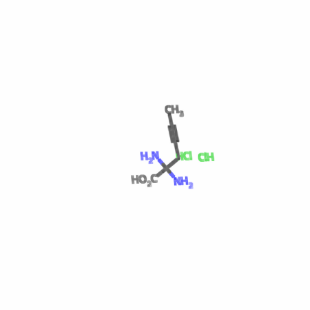 CC#CCC(N)(N)C(=O)O.Cl.Cl